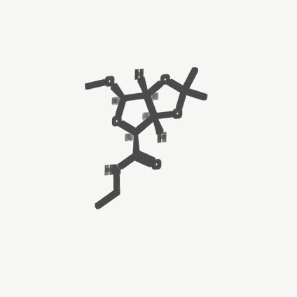 CCNC(=O)[C@H]1O[C@@H](OC)[C@@H]2OC(C)(C)O[C@@H]21